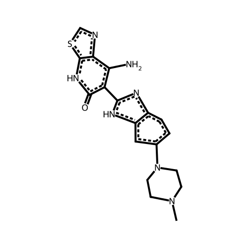 CN1CCN(c2ccc3nc(-c4c(N)c5ncsc5[nH]c4=O)[nH]c3c2)CC1